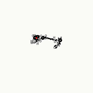 COc1cc(C(=O)NCCCCCCNC(=O)COc2c(-c3csc(N4CCOCC4)n3)ccc(F)c2F)ccc1NC(=O)[C@@H]1N[C@@H](CC(C)(C)C)[C@](C)(c2ccc(Cl)cc2F)[C@H]1c1cccc(Cl)c1F